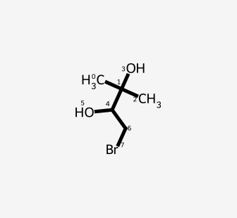 CC(C)(O)C(O)CBr